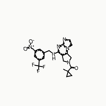 CC1(C(=O)N2Cc3c(NCc4cc([N+](=O)[O-])cc(C(F)(F)F)c4)nc4nccn4c3C2)CC1